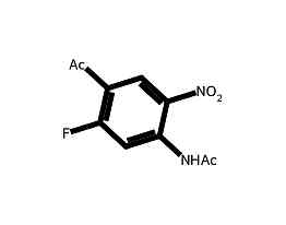 CC(=O)Nc1cc(F)c(C(C)=O)cc1[N+](=O)[O-]